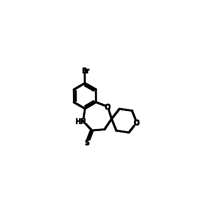 S=C1CC2(CCOCC2)Oc2cc(Br)ccc2N1